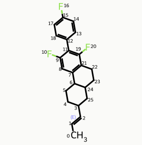 C/C=C/C1CCC2c3cc(F)c(-c4ccc(F)cc4)c(F)c3CCC2C1